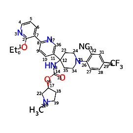 CCOc1ncccc1-c1ccc(C2(NC(=O)O[C@H]3CCN(C)C3)CCN(c3ccc(C(F)(F)F)cc3C#N)CC2)cn1